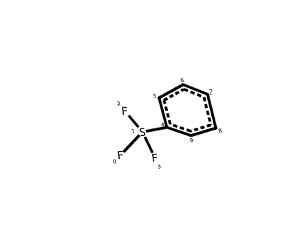 FS(F)(F)c1cc[c]cc1